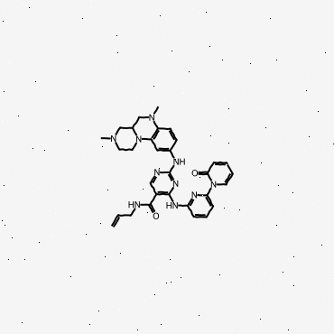 C=CCNC(=O)c1cnc(Nc2ccc3c(c2)N2CCN(C)CC2CN3C)nc1Nc1cccc(-n2ccccc2=O)n1